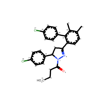 Cc1ccc(C2=NN(C(=O)CCC(=O)O)C(c3ccc(Cl)cc3)C2)c(-c2ccc(Cl)cc2)c1C